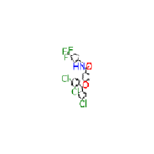 O=C(NCc1ccc(C(F)(F)F)cc1)c1ccc(OC(c2ccc(Cl)cc2)c2ccc(Cl)cc2Cl)cc1